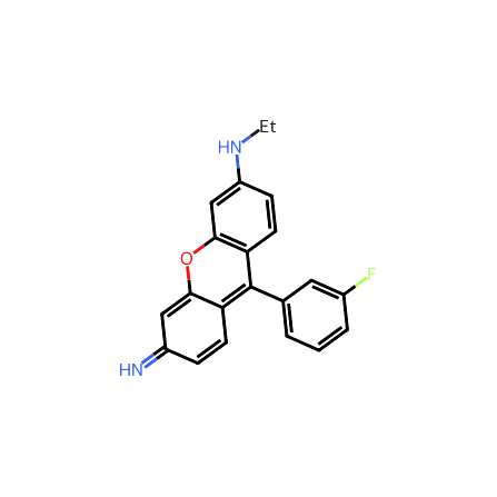 CCNc1ccc2c(-c3cccc(F)c3)c3ccc(=N)cc-3oc2c1